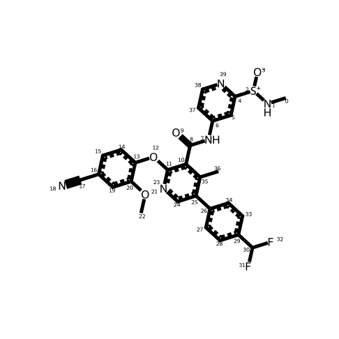 CN[S+]([O-])c1cc(NC(=O)c2c(Oc3ccc(C#N)cc3OC)ncc(-c3ccc(C(F)F)cc3)c2C)ccn1